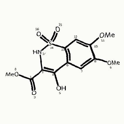 COC(=O)C1=C(O)c2cc(OC)c(OC)cc2S(=O)(=O)N1